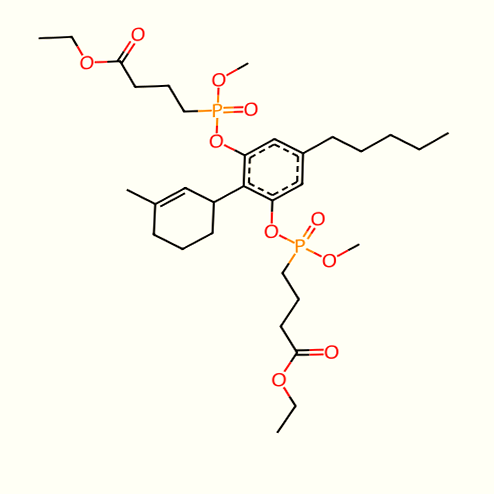 CCCCCc1cc(OP(=O)(CCCC(=O)OCC)OC)c(C2C=C(C)CCC2)c(OP(=O)(CCCC(=O)OCC)OC)c1